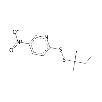 CCC(C)(C)SSc1ccc([N+](=O)[O-])cn1